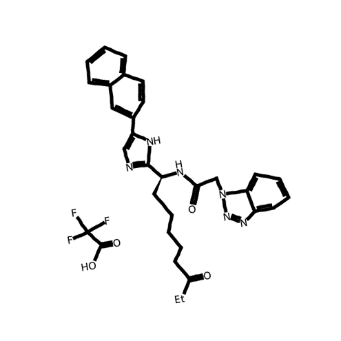 CCC(=O)CCCCC[C@H](NC(=O)Cn1nnc2ccccc21)c1ncc(-c2ccc3ccccc3c2)[nH]1.O=C(O)C(F)(F)F